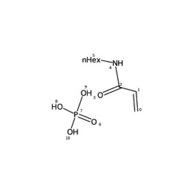 C=CC(=O)NCCCCCC.O=P(O)(O)O